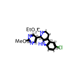 CCOC(=O)N1CCc2c([nH]c3ccc(Cl)cc23)C1c1cnc(OC)nc1